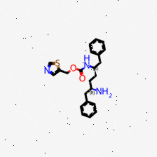 N[C@H](CC[C@H](Cc1ccccc1)NC(=O)OCc1cncs1)Cc1ccccc1